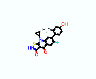 Cc1cc(O)ccc1-c1cc2c(cc1F)c(=O)c1c(=O)[nH]sc1n2C1CC1